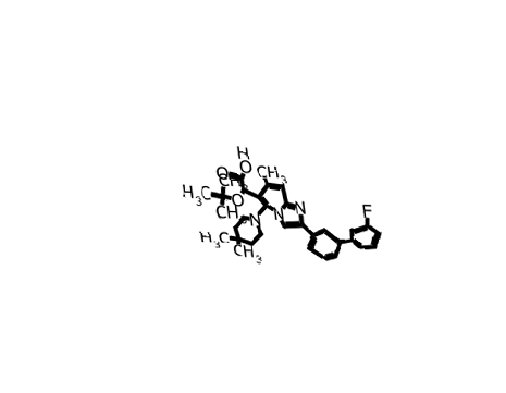 Cc1cc2nc(-c3cccc(-c4cccc(F)c4)c3)cn2c(N2CCC(C)(C)CC2)c1C(OC(C)(C)C)C(=O)O